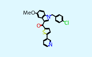 COc1ccc2c(c1)c(C(=O)c1ccc(-c3cccnc3)s1)cn2Cc1ccc(Cl)cc1